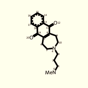 CNCCCN1CCC2=C(CC1)C(=O)c1ccccc1C2=O